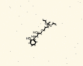 CCO[Si](C)(CCCOCC(O)CNc1ccccc1O)OCC